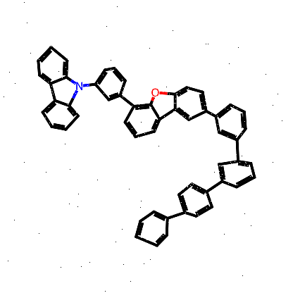 c1ccc(-c2ccc(-c3cccc(-c4cccc(-c5ccc6oc7c(-c8cccc(-n9c%10ccccc%10c%10ccccc%109)c8)cccc7c6c5)c4)c3)cc2)cc1